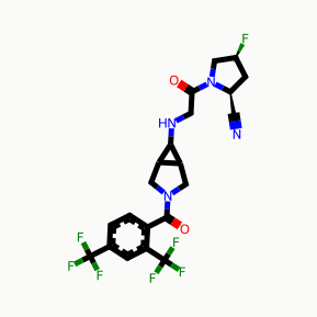 N#C[C@@H]1C[C@H](F)CN1C(=O)CNC1C2CN(C(=O)c3ccc(C(F)(F)F)cc3C(F)(F)F)CC21